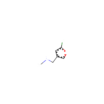 CCNCc1coc(Cl)c1